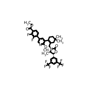 COC(=O)c1ccc(-c2cnc(OC)c(C3=C(CN4C(=O)O[C@H](c5cc(C(F)(F)F)cc(C(F)(F)F)c5)[C@@H]4C)CC(C)(C)CC3)c2)c(F)c1F